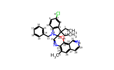 CCC1(CC)c2cc(Cl)ccc2N(Cc2ccccc2)C12C=Nc1c(C)cc3ccncc3c1O2